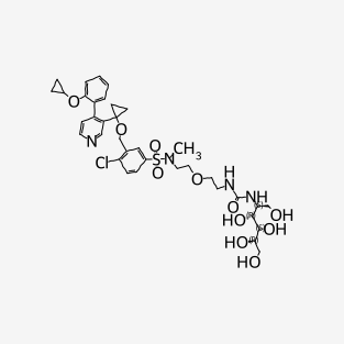 CN(CCOCCNC(=O)N[C@@H](CO)[C@@H](O)[C@H](O)[C@H](O)CO)S(=O)(=O)c1ccc(Cl)c(COC2(c3cnccc3-c3ccccc3OC3CC3)CC2)c1